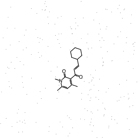 Cc1cc(C)n(C)c(=O)c1C(=O)/C=C/C1CCCCC1